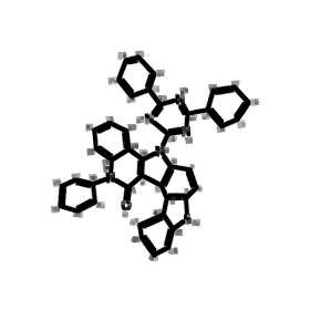 O=c1c2c3c4c(ccc3n(-c3nc(-c5ccccc5)nc(-c5ccccc5)n3)c2c2ccccc2n1-c1ccccc1)sc1ccccc14